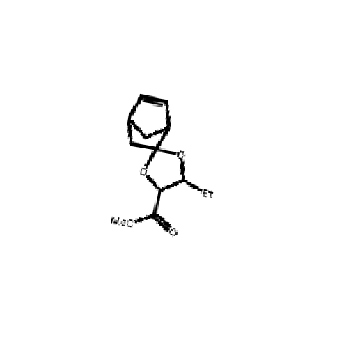 CCC1OC2(CC3C=CC2C3)OC1C(=O)OC